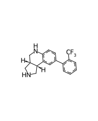 FC(F)(F)c1ccccc1-c1ccc2c(c1)[C@@H]1CNC[C@@H]1CN2